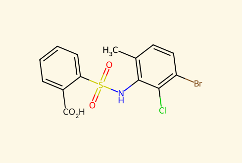 Cc1ccc(Br)c(Cl)c1NS(=O)(=O)c1ccccc1C(=O)O